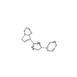 C1=C(c2nc(-c3cccnc3)cs2)c2ccccc2C1